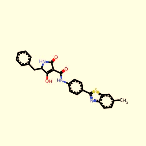 Cc1ccc2nc(-c3ccc(NC(=O)C4=C(O)C(Cc5ccccc5)NC4=O)cc3)sc2c1